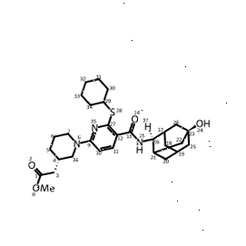 COC(=O)C[C@@H]1CCCN(c2ccc(C(=O)N[C@H]3C4CC5CC3C[C@@](O)(C5)C4)c(SC3CCCCC3)n2)C1